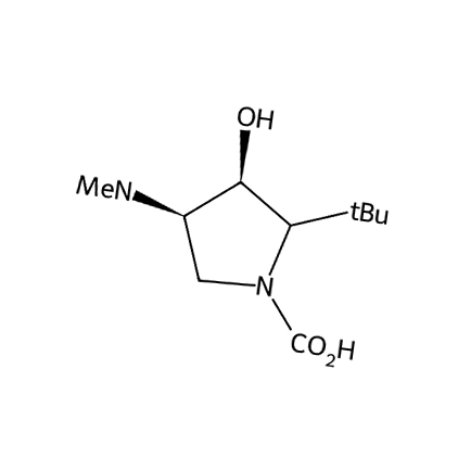 CN[C@@H]1CN(C(=O)O)C(C(C)(C)C)[C@@H]1O